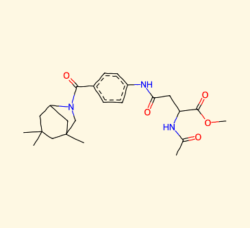 COC(=O)C(CC(=O)Nc1ccc(C(=O)N2CC3(C)CC2CC(C)(C)C3)cc1)NC(C)=O